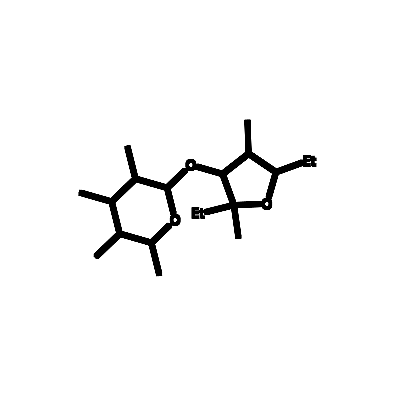 CCC1OC(C)(CC)C(OC2OC(C)C(C)C(C)C2C)C1C